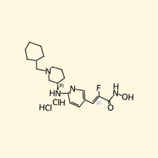 Cl.Cl.O=C(NO)/C(F)=C/c1ccc(N[C@@H]2CCCN(CC3CCCCC3)C2)nc1